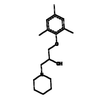 Cc1cc(C)c(OCC(O)CN2CCCCC2)c(C)c1